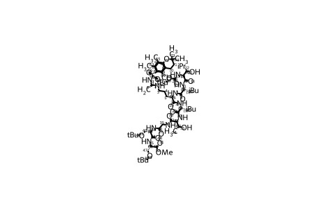 C=C(NCCC[C@@H](NC(=O)[C@@H](NC(=O)[C@@H](NC(=O)OC(C)(C)C)[C@H](O)C(C)C)[C@@H](C)CC)C(=O)N[C@H](C(=O)N[C@H](C(=O)NCC(=O)N[C@@H](COC(C)(C)C)C(=O)N[C@@H](COC(C)(C)C)C(=O)OC)[C@H](C)O)[C@@H](C)CC)NS(=O)(=O)c1c(C)c(C)c2c(c1C)CCC(C)(C)O2